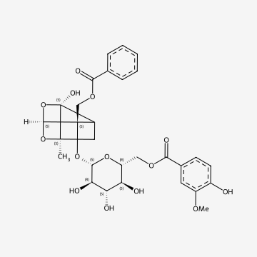 COc1cc(C(=O)OC[C@H]2O[C@@H](OC34CC5[C@@]3(COC(=O)c3ccccc3)C36[C@@H](O[C@]43C)O[C@@]56O)[C@H](O)[C@@H](O)[C@@H]2O)ccc1O